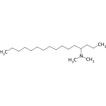 CCCCCCCCCCCCC(CCC)N(C)C